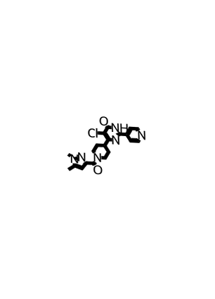 Cc1cc(C(=O)N2CCC(c3nc(-c4ccncc4)[nH]c(=O)c3Cl)CC2)nn1C